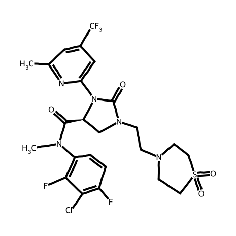 Cc1cc(C(F)(F)F)cc(N2C(=O)N(CCN3CCS(=O)(=O)CC3)C[C@H]2C(=O)N(C)c2ccc(F)c(Cl)c2F)n1